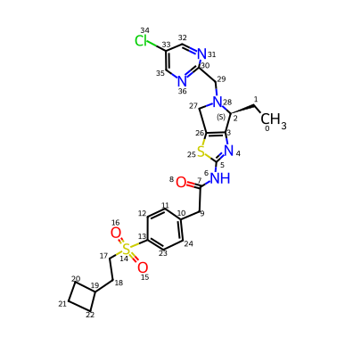 CC[C@H]1c2nc(NC(=O)Cc3ccc(S(=O)(=O)CCC4CCC4)cc3)sc2CN1Cc1ncc(Cl)cn1